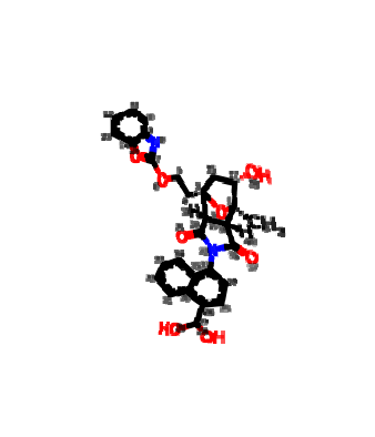 C[C@]12O[C@](CCOc3nc4ccccc4o3)(C[C@@H]1O)[C@H]1C(=O)N(c3ccc(C(O)O)c4ccccc34)C(=O)[C@H]12